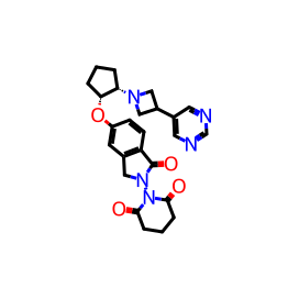 O=C1c2ccc(O[C@@H]3CCC[C@@H]3N3CC(c4cncnc4)C3)cc2CN1N1C(=O)CCCC1=O